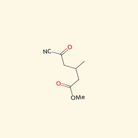 COC(=O)CC(C)CC(=O)C#N